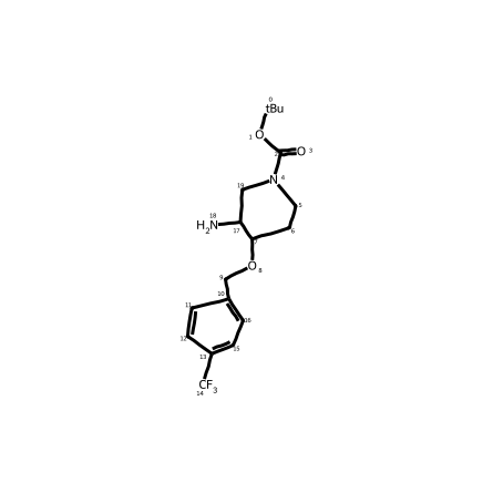 CC(C)(C)OC(=O)N1CCC(OCc2ccc(C(F)(F)F)cc2)C(N)C1